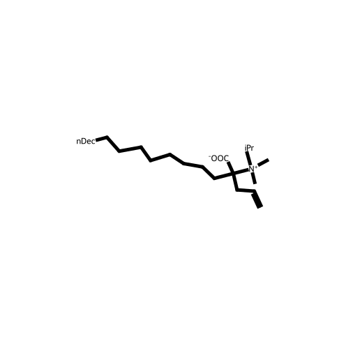 C=CCC(CCCCCCCCCCCCCCCCCC)(C(=O)[O-])[N+](C)(C)C(C)C